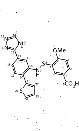 COc1ccc(C(=O)O)cc1SNc1cc(-c2nnn[nH]2)ccc1-c1cccs1